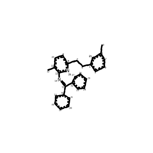 Cc1cccc(CCc2ccc(C)c(N=C(c3ccccc3)c3ccccc3)n2)c1